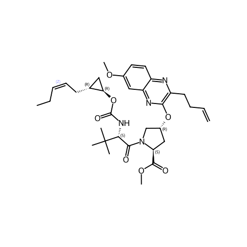 C=CCCc1nc2ccc(OC)cc2nc1O[C@@H]1C[C@@H](C(=O)OC)N(C(=O)[C@@H](NC(=O)O[C@@H]2C[C@H]2C/C=C\CC)C(C)(C)C)C1